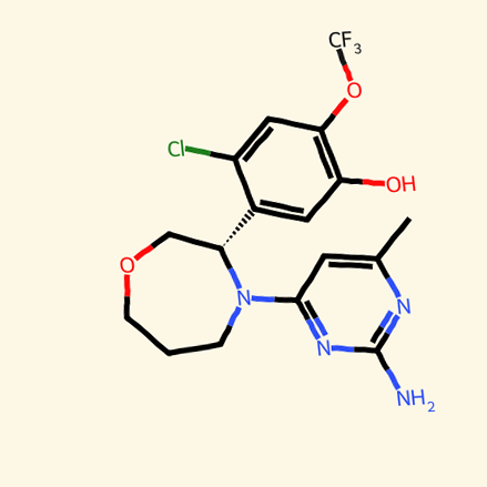 Cc1cc(N2CCCOC[C@@H]2c2cc(O)c(OC(F)(F)F)cc2Cl)nc(N)n1